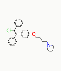 ClC(=C(c1ccccc1)c1ccc(OCCCCN2CCCC2)cc1)c1ccccc1